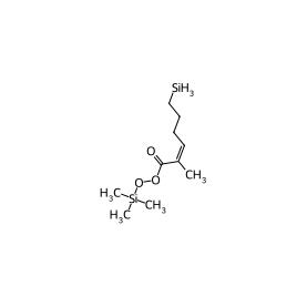 CC(=CCCC[SiH3])C(=O)OO[Si](C)(C)C